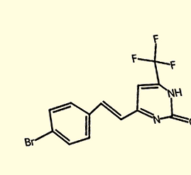 O=c1nc(C=Cc2ccc(Br)cc2)cc(C(F)(F)F)[nH]1